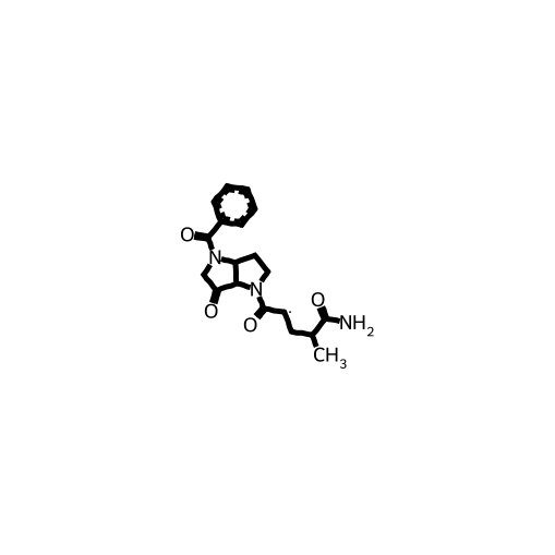 CC(C[CH]C(=O)N1CCC2C1C(=O)CN2C(=O)c1ccccc1)C(N)=O